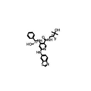 CC(C)(O)[C@H](F)CNC(=O)c1cnc(Nc2ccc3ncsc3c2)cc1N[C@H](CO)c1ccccc1